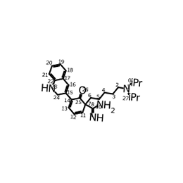 CC(C)N(CCCCCC1(C(=N)N)C=CC=C(C2=Cc3ccccc3NC2)C1=O)C(C)C